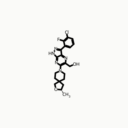 C[C@H]1CC2(CCN(c3nc4[nH]nc(-c5cccc(Cl)c5F)c4nc3CO)CC2)CO1